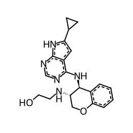 OCCN[C@H]1COc2ccccc2[C@@H]1Nc1ncnc2[nH]c(C3CC3)cc12